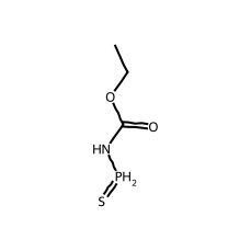 CCOC(=O)N[PH2]=S